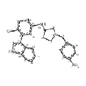 Nc1ccc(CN2CCC(Nc3ncc(Cl)c(-c4c[nH]c5ccccc45)n3)C2)cc1